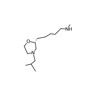 CNCCCCC[C@@H]1CN(CC(C)C)CCO1